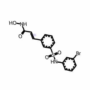 O=C(/C=C/c1cccc(S(=O)(=O)Nc2cccc(Br)c2)c1)NO